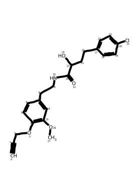 C#CCOc1ccc(CCNC(=O)C(O)CCc2ccc(Cl)cc2)cc1OC